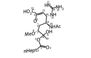 CCCCCCCC(=O)OC(C)(O)[C@H](OC)[C@@H]1OC(C(=O)O)=C[C@H](NC(=N)N)[C@H]1NC(C)=O